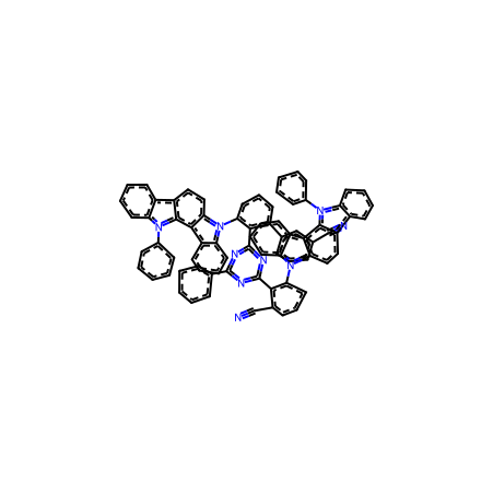 N#Cc1cccc(-c2cccc(-n3c4ccccc4c4c3ccc3c5ccccc5n(-c5ccccc5)c34)c2-c2nc(-c3ccccc3)nc(-c3c(C#N)cccc3-n3c4ccccc4c4c3ccc3c5ccccc5n(-c5ccccc5)c34)n2)c1